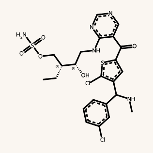 CC[C@H](COS(N)(=O)=O)[C@@H](O)CNc1ncncc1C(=O)c1cc(C(NC)c2cccc(Cl)c2)c(Cl)s1